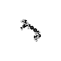 COC(=O)NC(C(=O)N1CC2(CC1c1ncc(-c3ccc(-c4ccc(-c5cnc([C@@H]6CCCN6C(=O)C(NC(=O)OC)C(C)C)[nH]5)cc4)cc3)[nH]1)CN(C(C)=O)C2)C(C)C